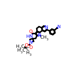 Cn1c2c(c3c1-c1cc(-c4cccc(C#N)c4)ncc1CC3)C(=O)NC1(C2)CN(C(=O)OC(C)(C)C)C1